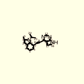 Cc1cc2cccc(C#Cc3ncnc4[nH]ccc34)c2n1C(C)C